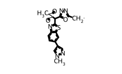 [CH2]c1nnc(C(c2nc3ccc(-c4cnn(C)c4)cc3s2)S(C)(=O)=O)o1